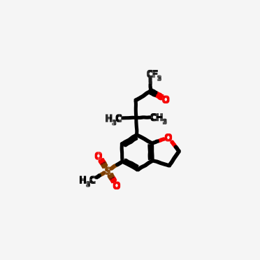 CC(C)(CC(=O)C(F)(F)F)c1cc(S(C)(=O)=O)cc2c1OCC2